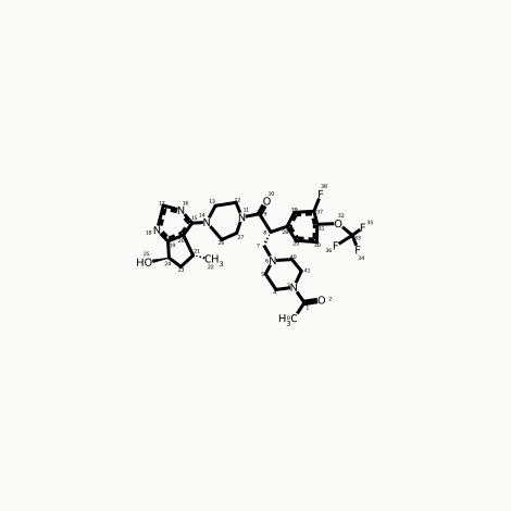 CC(=O)N1CCN(C[C@H](C(=O)N2CCN(c3ncnc4c3[C@H](C)C[C@H]4O)CC2)c2ccc(OC(F)(F)F)c(F)c2)CC1